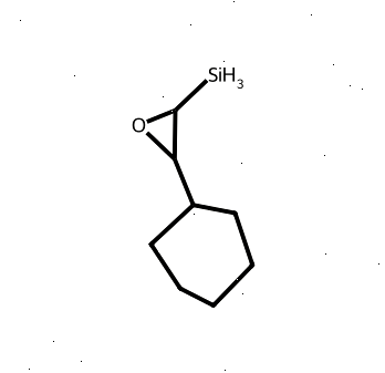 [SiH3]C1OC1C1CCCCC1